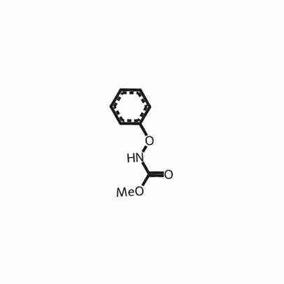 COC(=O)NOc1ccccc1